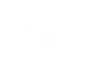 CNCCCc1c(C)cccc1-c1c(NC)ccc(F)c1F